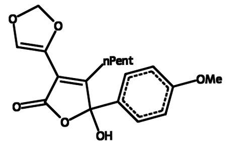 CCCCCC1=C(C2=COCO2)C(=O)OC1(O)c1ccc(OC)cc1